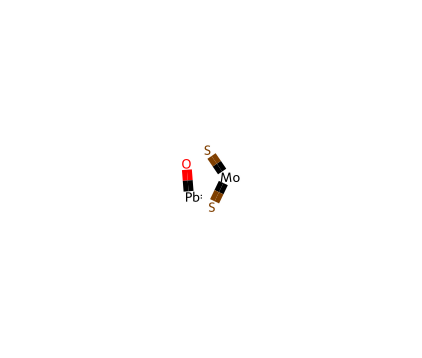 [O]=[Pb].[S]=[Mo]=[S]